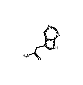 NC(=O)Cc1c[nH]c2ncncc12